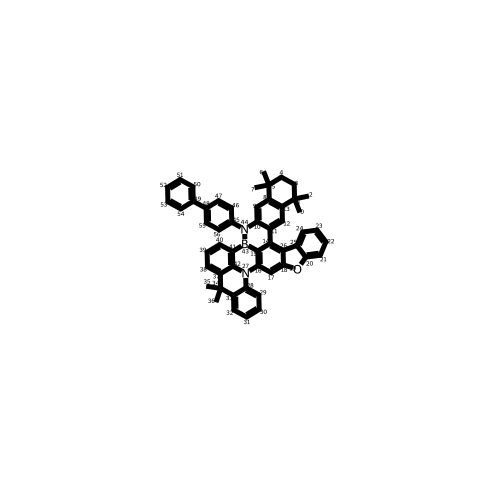 CC1(C)CCC(C)(C)c2cc3c(cc21)-c1c2c(cc4oc5ccccc5c14)N1c4ccccc4C(C)(C)c4cccc(c41)B2N3c1ccc(-c2ccccc2)cc1